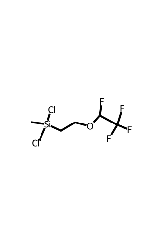 C[Si](Cl)(Cl)CCOC(F)C(F)(F)F